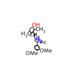 COc1ccc(C2CC(/C=C/C3=C(C)C(O)CCC3(C)C)=NN2C(C)=O)cc1OC